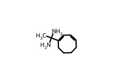 CC(N)(N)/C1=C/C=C\CCCC1